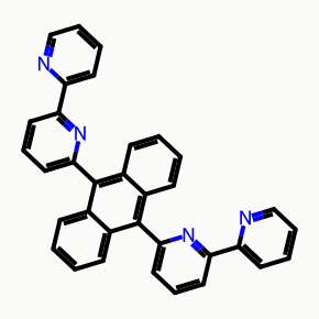 c1ccc(-c2cccc(-c3c4ccccc4c(-c4cccc(-c5ccccn5)n4)c4ccccc34)n2)nc1